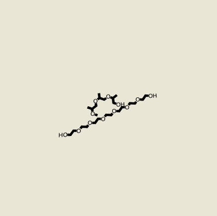 COC(C)COC(C)COC(C)CO.OCCOCCOCCOCCOCCOCCOCCO